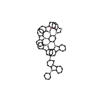 c1ccc(-n2c3ccccc3c3cc(-c4ccc5c(c4)c4ccccc4n5-c4c(-n5c6ccccc6c6ccccc65)cc(-n5cnc6ccccc65)c(-n5c6ccccc6c6ccccc65)c4-n4c5ccccc5c5ccccc54)ccc32)cc1